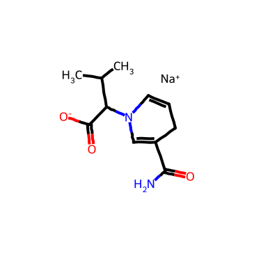 CC(C)C(C(=O)[O-])N1C=CCC(C(N)=O)=C1.[Na+]